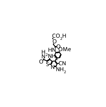 COc1ccc(-c2c(C#N)c(N)nc3sc(C(N)=O)c(N)c23)cc1NC(=O)COCC(=O)O